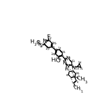 CCC[C@]1(C)CC[C@H](F)[C@H](N(c2cnc(-c3ccc(-c4cc(F)nc(SC)c4)cc3O)nn2)C2CC2)C1